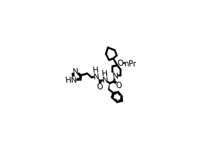 CCCOC1(C2CCCCC2)CCN(C(=O)[C@@H](Cc2ccccc2)NC(=O)NCCc2c[nH]cn2)CC1